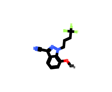 COc1cccc2c(C#N)nn(CCCC(F)(F)F)c12